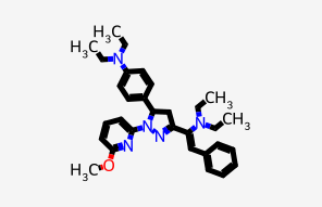 CCN(CC)C(=Cc1ccccc1)C1=NN(c2cccc(OC)n2)C(c2ccc(N(CC)CC)cc2)C1